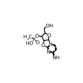 CP(=O)(O)OC1C(CO)OC2C1Oc1nc(=N)ccn12